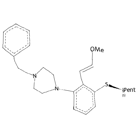 CCC[C@H](C)Sc1cccc(N2CCN(Cc3ccccc3)CC2)c1C=COC